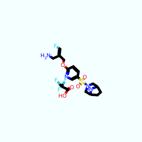 NC/C(=C\F)COc1ccc(S(=O)(=O)N2CC3CCC(C2)N3)cn1.O=C(O)C(F)(F)F